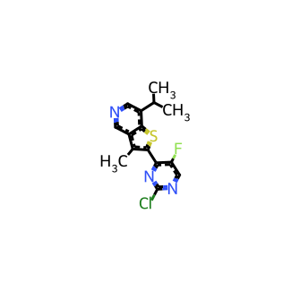 Cc1c(-c2nc(Cl)ncc2F)sc2c(C(C)C)cncc12